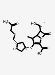 CC1C(S[C@@H]2CN[C@H](CSCC(N)=O)C2)=C(C(=O)O)N2C(=O)C([C@@H](C)O)C12